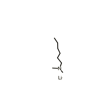 CCCCCCN(C)C.[Li]